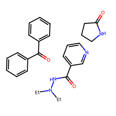 CCN(CC)NC(=O)c1cccnc1.O=C(c1ccccc1)c1ccccc1.O=C1CCCN1